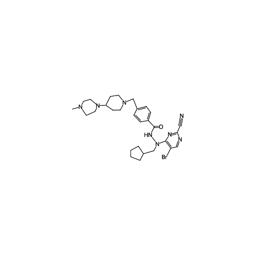 CN1CCN(C2CCN(Cc3ccc(C(=O)NN(CC4CCCC4)c4nc(C#N)ncc4Br)cc3)CC2)CC1